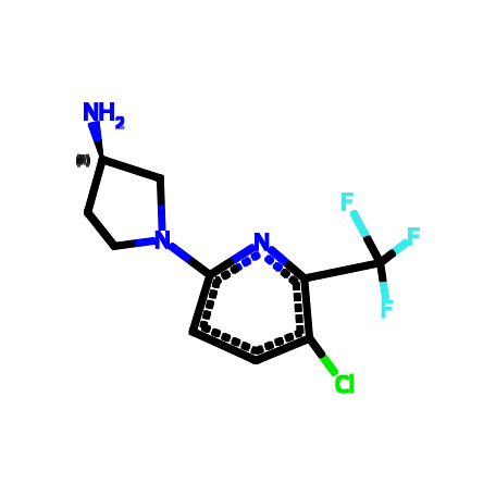 N[C@@H]1CCN(c2ccc(Cl)c(C(F)(F)F)n2)C1